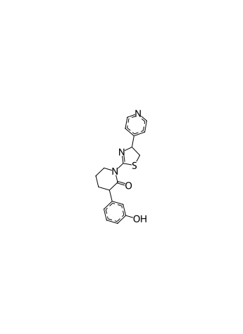 O=C1C(c2cccc(O)c2)CCCN1C1=NC(c2ccncc2)CS1